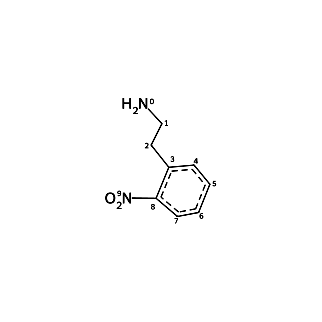 NCCc1ccccc1[N+](=O)[O-]